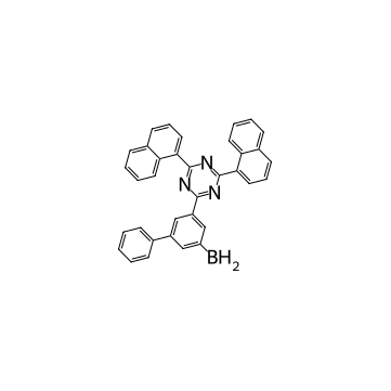 Bc1cc(-c2ccccc2)cc(-c2nc(-c3cccc4ccccc34)nc(-c3cccc4ccccc34)n2)c1